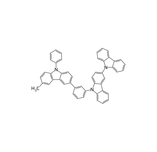 Cc1ccc2c(c1)c1cc(-c3cccc(-n4c5ccccc5c5cc(-n6c7ccccc7c7ccccc76)ccc54)c3)ccc1n2-c1ccccc1